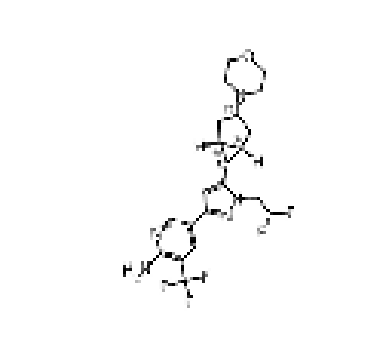 Nc1ncc(-c2cc([C@H]3[C@@H]4C[C@@H](N5CCOCC5)C[C@@H]43)n(CC(F)F)n2)cc1C(F)(F)F